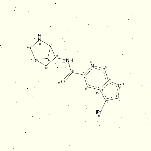 CC(C)c1coc2cnc(C(=O)NC3CC4CNC3C4)cc12